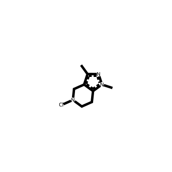 Cc1nn(C)c2c1CN(Cl)CC2